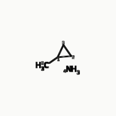 CC1CC1.N